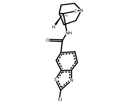 CCc1nc2ccc(C(=O)N[C@H]3CN4CCC3CC4)cc2s1